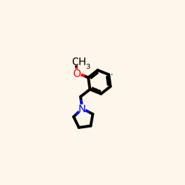 COc1c[c]ccc1CN1CCCC1